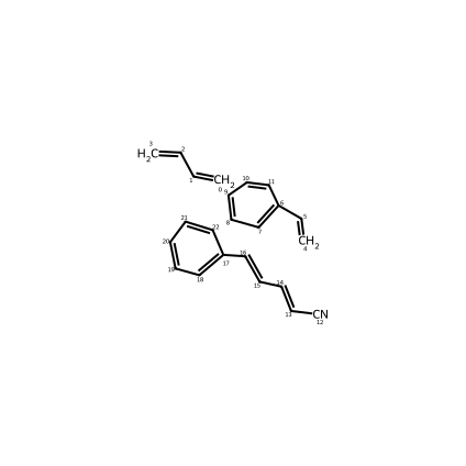 C=CC=C.C=Cc1ccccc1.N#CC=CC=Cc1ccccc1